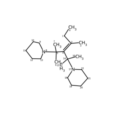 CCC(C)=C(C(C)(C)N1CCCCC1)C(C)(C)N1CCCCC1